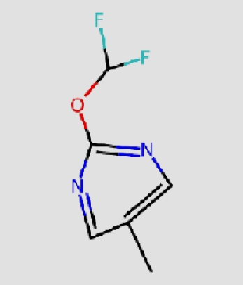 Cc1cnc(OC(F)F)nc1